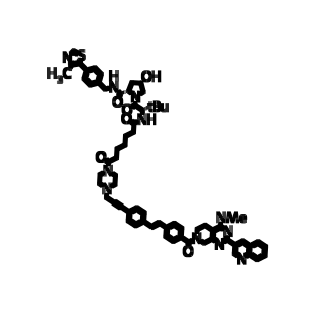 CNc1nc(-c2cnc3ccccc3c2)nc2c1CCN(C(=O)c1ccc(/C=C/c3ccc(C#CCN4CCN(C(=O)CCCCCC(=O)N[C@H](C(=O)N5C[C@H](O)C[C@H]5C(=O)NCc5ccc(-c6scnc6C)cc5)C(C)(C)C)CC4)cc3)cc1)C2